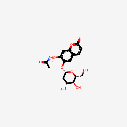 CC(N)=O.O=c1ccc2cc(O[C@H]3C[C@@H](O)[C@H](O)[C@@H](CO)O3)c(O)cc2o1